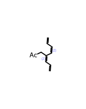 C=C/C=C\C(=C/C=C)CC(C)=O